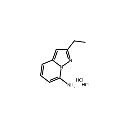 CCc1cc2cccc(N)n2n1.Cl.Cl